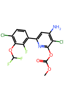 COC(=O)Oc1nc(-c2ccc(Cl)c(OC(F)F)c2F)cc(N)c1Cl